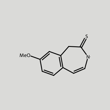 COc1ccc2c(c1)CC(=S)[N]C=C2